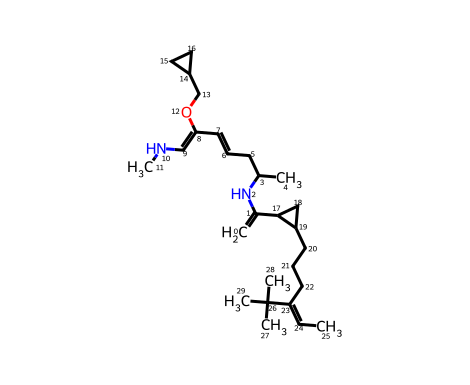 C=C(NC(C)C/C=C/C(=C/NC)OCC1CC1)C1CC1CCC/C(=C\C)C(C)(C)C